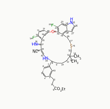 CCOC(=O)CCc1cccc(C2CCCC(C)(C)CSCCc3c(c(F)cc4[nH]ccc34)Oc3ccc(F)c(c3)C(=N)/C(C#N)=C\N2)c1